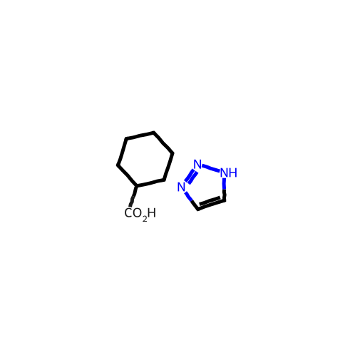 O=C(O)C1CCCCC1.c1c[nH]nn1